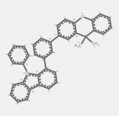 CC1(C)c2ccccc2Oc2ccc(-c3cccc(-c4cccc5c6ccccc6n(-c6ccccc6)c45)c3)cc21